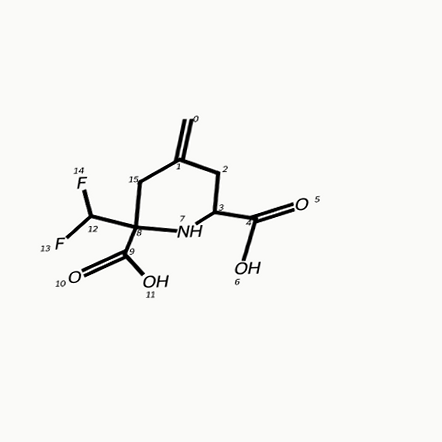 C=C1CC(C(=O)O)NC(C(=O)O)(C(F)F)C1